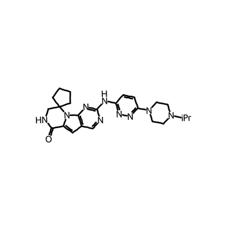 CC(C)N1CCN(c2ccc(Nc3ncc4cc5n(c4n3)C3(CCCC3)CNC5=O)nn2)CC1